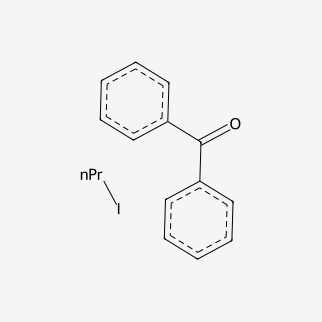 CCCI.O=C(c1ccccc1)c1ccccc1